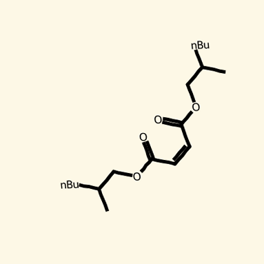 CCCCC(C)COC(=O)/C=C\C(=O)OCC(C)CCCC